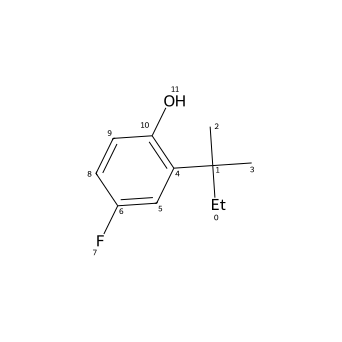 CCC(C)(C)c1cc(F)ccc1O